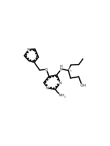 CCC[C@@H](CCO)Nc1nc(N)ncc1OCc1ccncc1